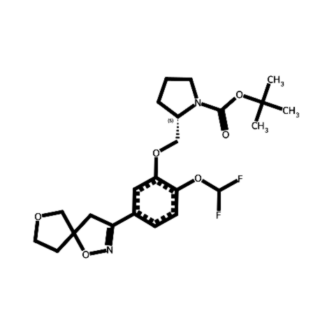 CC(C)(C)OC(=O)N1CCC[C@H]1COc1cc(C2=NOC3(CCOC3)C2)ccc1OC(F)F